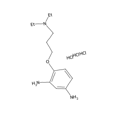 CCN(CC)CCCOc1ccc(N)cc1N.Cl.Cl.Cl